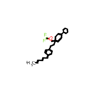 CCCCCCc1ccc(CCC2(COC(F)F)C=CC(c3ccccc3)=CC2)cc1